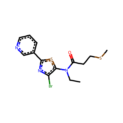 CCN(C(=O)CCSC)c1sc(-c2cccnc2)nc1Br